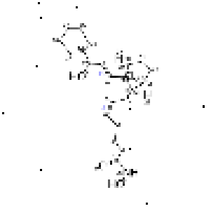 O=C(CCC/C=C\C[C@H]1[C@@H](/C=C/C(O)C2CCCCC2)[C@H]2CC[C@@H]1O2)NO